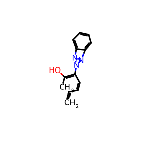 C=C/C=C\C(=C(/C)O)n1n2c3ccccc3n12